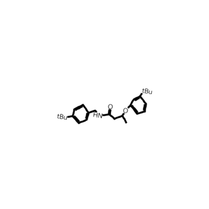 CC(CC(=O)NCc1ccc(C(C)(C)C)cc1)Oc1cccc(C(C)(C)C)c1